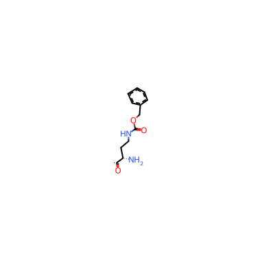 N[C@H]([C]=O)CCNC(=O)OCc1ccccc1